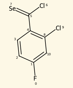 Fc1ccc(C(Cl)=[Se])c(Cl)c1